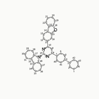 c1ccc(-c2ccc(-c3cc(-c4ccc5c(c4)oc4ccccc45)nc(-n4c5ccccc5c5ccccc54)n3)cc2)cc1